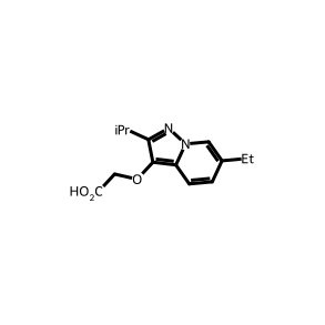 CCc1ccc2c(OCC(=O)O)c(C(C)C)nn2c1